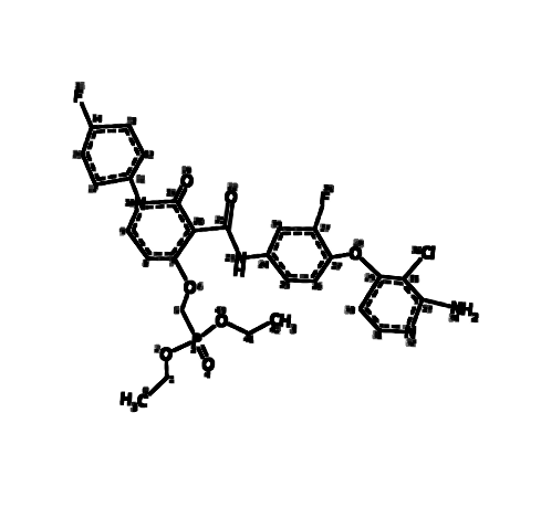 CCOP(=O)(COc1ccn(-c2ccc(F)cc2)c(=O)c1C(=O)Nc1ccc(Oc2ccnc(N)c2Cl)c(F)c1)OCC